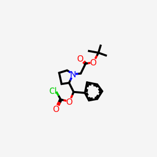 CC(C)(C)OC(=O)CN1CCCC1C(OC(=O)Cl)c1ccccc1